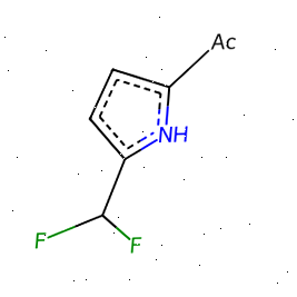 CC(=O)c1ccc(C(F)F)[nH]1